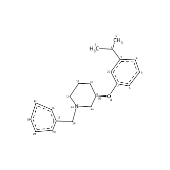 CC(C)c1cccc(O[C@@H]2CCCN(Cc3ccccc3)C2)c1